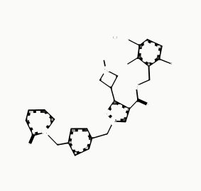 COc1ccc(F)c(CNC(=O)c2cn(Cc3ccc(Cn4ccccc4=O)cc3)nc2C2CN(C)C2)c1F